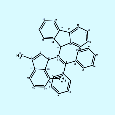 CC1=C[CH]([Zr](=[C](c2ccccc2)c2ccccc2)[CH]2c3ccccc3-c3ccccc32)c2c(C)cccc21